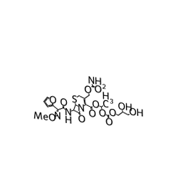 CON=C(C(=O)NC1C(=O)N2C(C(=O)OC(C)OC(=O)OCC(O)CO)=C(COC(N)=O)CSC12)c1ccco1